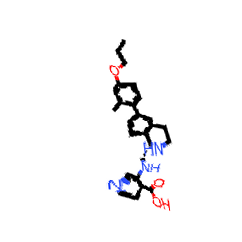 CCCOc1ccc(-c2ccc3c(c2)CCN[C@@H]3CNc2cnccc2C(=O)O)c(C)c1